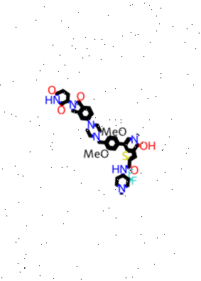 COc1cc(C2=CN(C)C(O)c3cc(C(=O)NC4CCN(C)CC4(F)F)sc32)cc(OC)c1CN1CCN(c2ccc3c(c2)CN(C2CCC(=O)NC2=O)C3=O)CC1